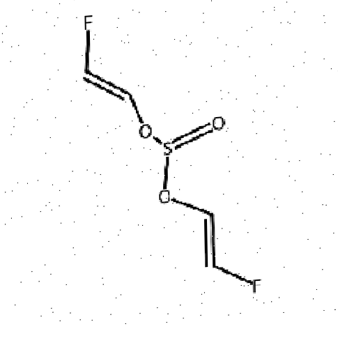 O=S(O/C=C/F)O/C=C/F